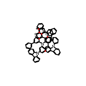 Cc1ccc(-n2c3ccccc3c3ccccc32)cc1Sc1cc(-c2ccccc2)cc(N(c2cc(-n3c4ccccc4c4ccccc43)ccc2C)c2c(-c3cccc4c5ccccc5n(-c5ccccc5)c34)cccc2-c2cccc3c4ccccc4n(-c4ccccc4)c23)c1C